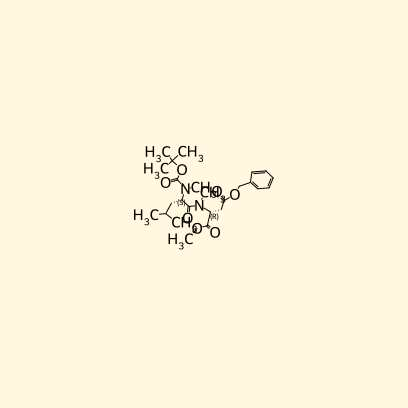 COC(=O)[C@@H](CC(=O)OCc1ccccc1)N(C)C(=O)[C@H](CC(C)C)N(C)C(=O)OC(C)(C)C